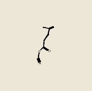 C=C(C)CCC(=O)OC#N